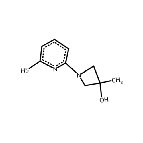 CC1(O)CN(c2cccc(S)n2)C1